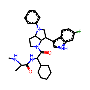 CNC(C)C(=O)NC(C(=O)N1CCC2C1C(c1c[nH]c3cc(F)ccc13)CN2c1ccccc1)C1CCCCC1